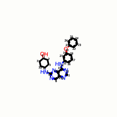 O[C@H]1CC[C@H](Nc2ncc3ncnc(Nc4cccc(Oc5ccccc5)c4)c3n2)CC1